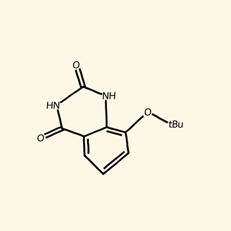 CC(C)(C)Oc1cccc2c(=O)[nH]c(=O)[nH]c12